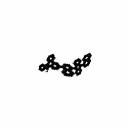 c1ccc2c(-c3c4ccccc4c(-c4ccc(-c5ccc6c(c5)c5ccccc5c5c7ccccc7sc65)c5ccccc45)c4ccccc34)cccc2c1